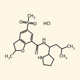 CC(C)CC(NC(=O)c1cc(S(C)(=O)=O)cc2c1OC(C)C2)C1CCCN1.Cl